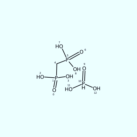 O=P(O)(O)CP(=O)(O)O.O=[PH](O)O